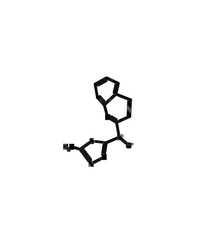 Nc1nnc([S+]([O-])c2ccc3ccccc3n2)s1